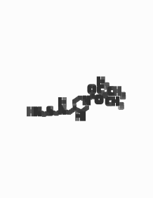 CC(C)(C)OC(=O)N1CCC(CNCSC=N)CC1.I